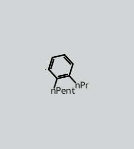 CCCCCc1[c]cccc1CCC